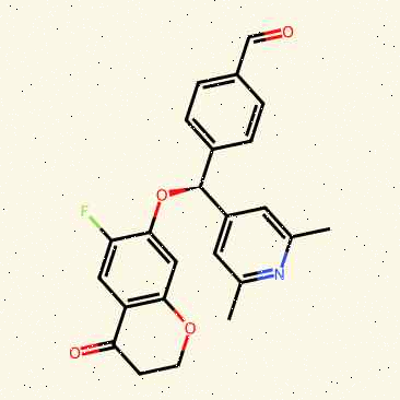 Cc1cc([C@@H](Oc2cc3c(cc2F)C(=O)CCO3)c2ccc(C=O)cc2)cc(C)n1